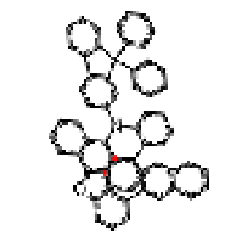 c1ccc(-c2ccccc2N(c2ccc3c(c2)C(c2ccccc2)(c2ccccc2)c2ccccc2-3)c2cc3c(oc4cccc(-c5ccc6ccccc6c5)c43)c3ccccc23)cc1